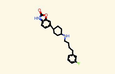 O=c1[nH]c2ccc(C3CCC(NCCCCc4cccc(F)c4)CC3)cc2o1